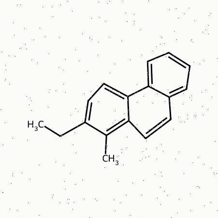 CCc1ccc2c(ccc3ccccc32)c1C